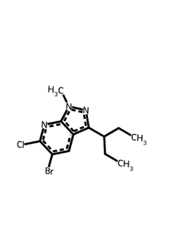 CCC(CC)c1nn(C)c2nc(Cl)c(Br)cc12